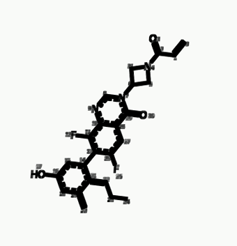 C=CC(=O)N1CC(n2cnc3c(F)c(-c4cc(O)cc(=C)/c4=C\CC)c(F)cc3c2=O)C1